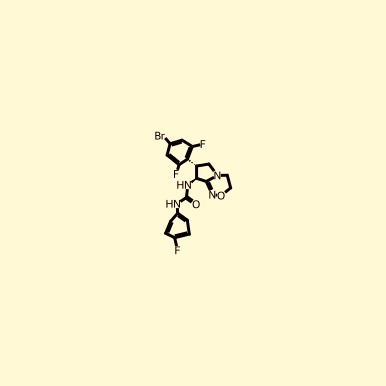 O=C(Nc1ccc(F)cc1)N[C@@H]1C2=NOCCN2C[C@H]1c1c(F)cc(Br)cc1F